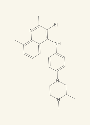 CCc1c(C)nc2c(C)cccc2c1Nc1ccc(N2CCN(C)C(C)C2)cc1